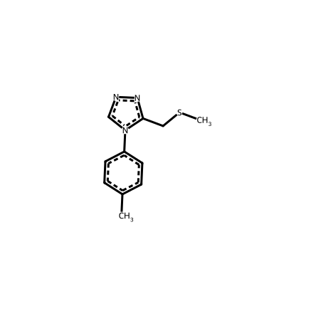 CSCc1nncn1-c1ccc(C)cc1